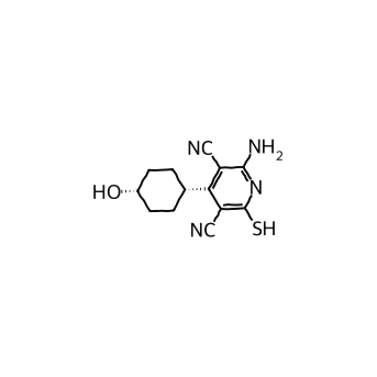 N#Cc1c(N)nc(S)c(C#N)c1[C@H]1CC[C@@H](O)CC1